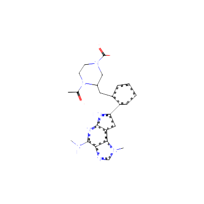 CNc1nc2[nH]c(-c3ccccc3CC3CN(C(=O)O)CCN3C(C)=O)cc2c2c1ncn2C